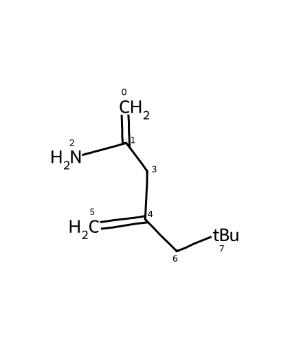 C=C(N)CC(=C)CC(C)(C)C